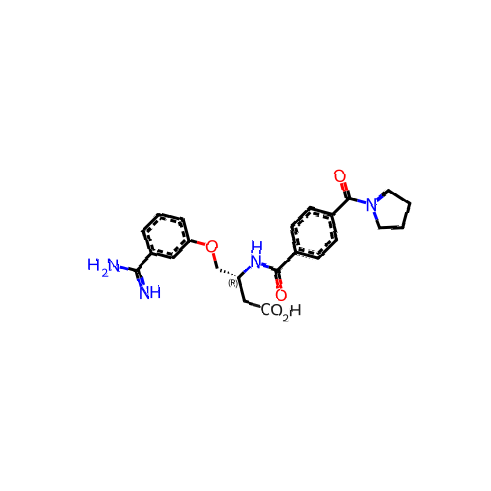 N=C(N)c1cccc(OC[C@@H](CC(=O)O)NC(=O)c2ccc(C(=O)N3CCCC3)cc2)c1